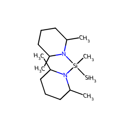 CC1CCCC(C)N1[Si](C)([SiH3])N1C(C)CCCC1C